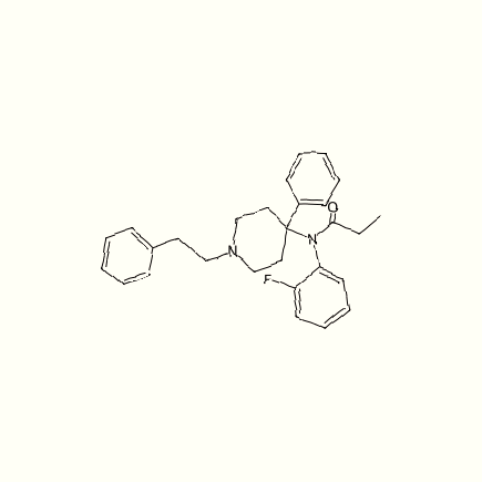 CCC(=O)N(c1ccccc1F)C1(c2ccccc2)CCN(CCc2ccccc2)CC1